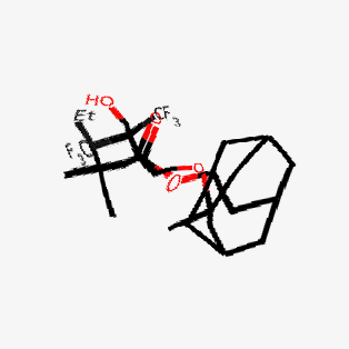 CCC(C)(C)C(=O)OC12CC3CC(C1)C(C)(OCC(O)(C(F)(F)F)C(F)(F)F)C(C3)C2